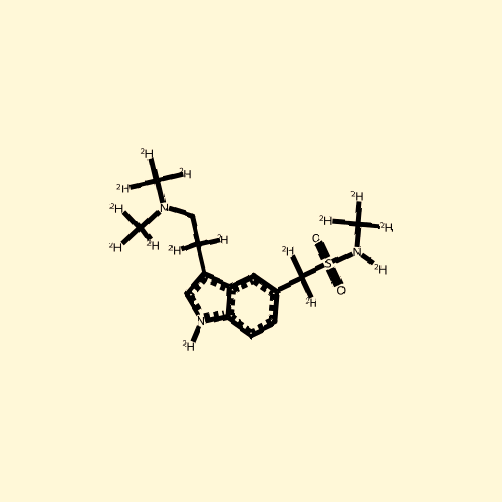 [2H]N(C([2H])([2H])[2H])S(=O)(=O)C([2H])([2H])c1ccc2c(c1)c(C([2H])([2H])CN(C([2H])([2H])[2H])C([2H])([2H])[2H])cn2[2H]